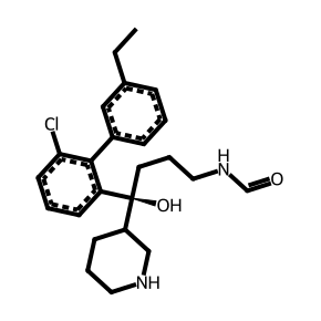 CCc1cccc(-c2c(Cl)cccc2[C@](O)(CCCNC=O)C2CCCNC2)c1